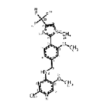 COc1cc(CNc2nc(Cl)ncc2OC)ccc1-c1nc(C(F)(F)F)cn1C